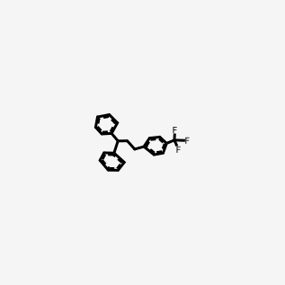 FC(F)(F)c1ccc(CCC(c2ccccc2)c2ccccc2)cc1